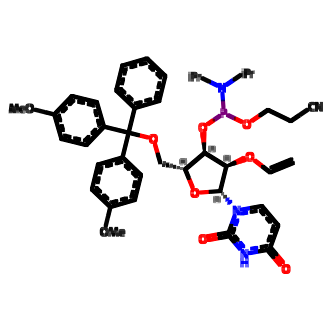 C=CO[C@@H]1[C@H](OP(OCCC#N)N(C(C)C)C(C)C)[C@@H](COC(c2ccccc2)(c2ccc(OC)cc2)c2ccc(OC)cc2)O[C@H]1n1ccc(=O)[nH]c1=O